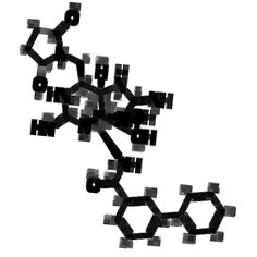 N=C1N[C@H]2[C@H](CN3C(=O)CCC3=O)NC(=N)N3C[C@H](NC(=O)c4cccc(-c5ccccc5)c4)C(O)(O)[C@]23N1